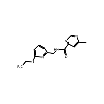 Cc1cc(C(=O)NCc2cccc(OCC(F)(F)F)n2)ncn1